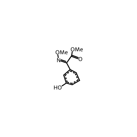 CON=C(C(=O)OC)c1cccc(O)c1